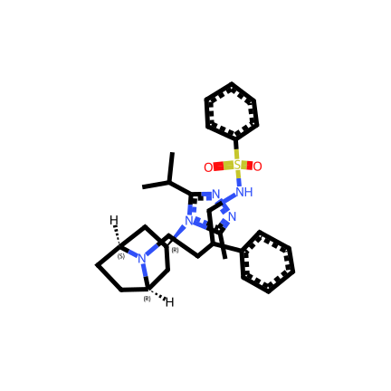 Cc1nnc(C(C)C)n1[C@H]1C[C@H]2CC[C@@H](C1)N2CCC(CNS(=O)(=O)c1ccccc1)c1ccccc1